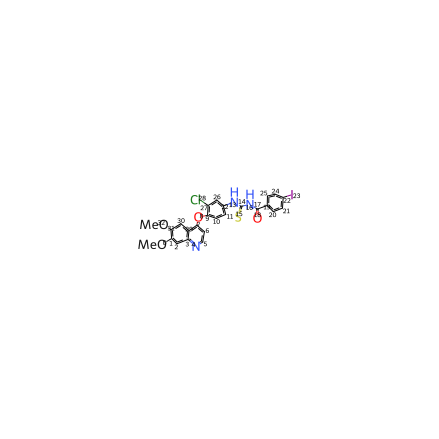 COc1cc2nccc(Oc3ccc(NC(=S)NC(=O)c4ccc(I)cc4)cc3Cl)c2cc1OC